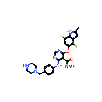 CNC(=O)c1c(Nc2ccc(CN3CCNCC3)cc2)ncnc1Oc1cc(F)c2[nH]c(C)cc2c1F